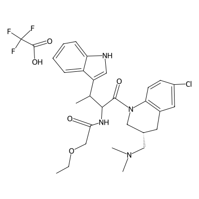 CCOCC(=O)NC(C(=O)N1C[C@@H](CN(C)C)Cc2cc(Cl)ccc21)C(C)c1c[nH]c2ccccc12.O=C(O)C(F)(F)F